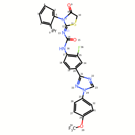 CC(C)c1ccccc1N1C(=O)CS/C1=N\C(=O)Nc1ccc(-c2ncn(-c3ccc(OC(F)(F)F)cc3)n2)cc1F